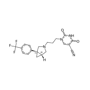 N#Cc1cn(CCCN2C[C@@H]3C[C@]3(c3ccc(C(F)(F)F)cc3)C2)c(=O)[nH]c1=O